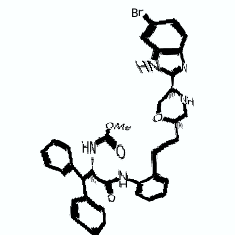 COC(=O)N[C@H](C(=O)Nc1ccccc1CC[C@@H]1CN[C@H](c2nc3ccc(Br)cc3[nH]2)CO1)C(c1ccccc1)c1ccccc1